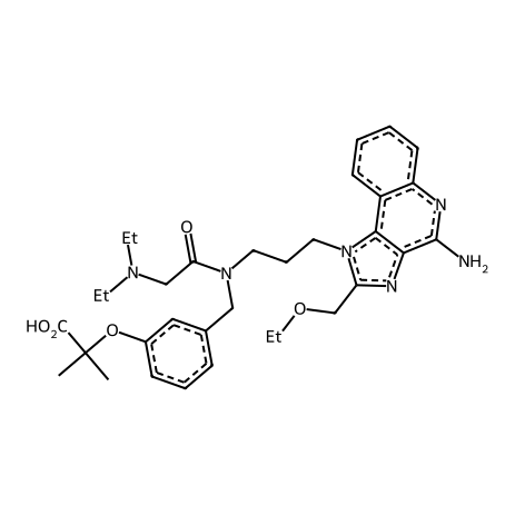 CCOCc1nc2c(N)nc3ccccc3c2n1CCCN(Cc1cccc(OC(C)(C)C(=O)O)c1)C(=O)CN(CC)CC